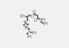 C=P(C)(OCC(COC(=O)CC(=O)NCC(C)C)C(C)C)OCN(CC(C)C)C(C)C